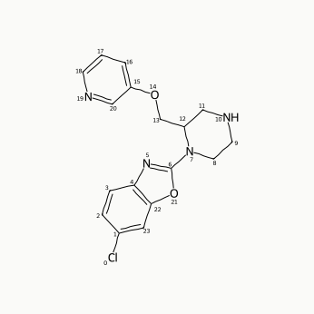 Clc1ccc2nc(N3CCNCC3COc3cccnc3)oc2c1